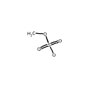 [CH2]OS([O])(=O)=O